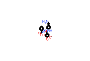 COc1ccc(C(=O)Nc2ccc(C(C)(C)CN)cc2)cc1OC.O=C(O)c1n[nH]c2ccccc12